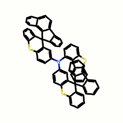 c1ccc2c(c1)Sc1ccc(N(c3ccc4c(c3)C3(c5ccccc5S4)c4ccccc4-c4ccc5ccccc5c43)c3cccc4sc5ccccc5c34)cc1C21c2ccccc2-c2ccccc21